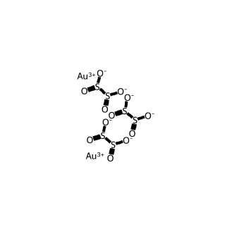 O=S([O-])S(=O)[O-].O=S([O-])S(=O)[O-].O=S([O-])S(=O)[O-].[Au+3].[Au+3]